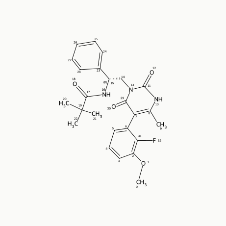 COc1cccc(-c2c(C)[nH]c(=O)n(C[C@H](NC(=O)C(C)(C)C)c3ccccc3)c2=O)c1F